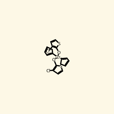 Clc1ccsc1[O][Zr]([O]c1sccc1Cl)([C]1=CC=CC1)[C]1=CC=CC1